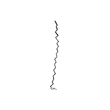 [C]=CC=CC=CCCCCCCCCCCCCCCCCCCCC